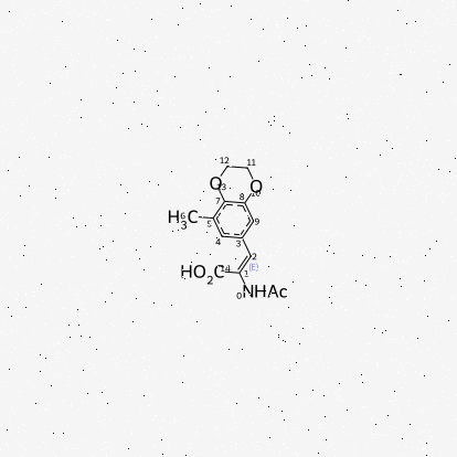 CC(=O)N/C(=C/c1cc(C)c2c(c1)OCCO2)C(=O)O